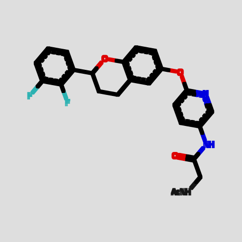 CC(=O)NCC(=O)Nc1ccc(Oc2ccc3c(c2)CCC(c2cccc(F)c2F)O3)nc1